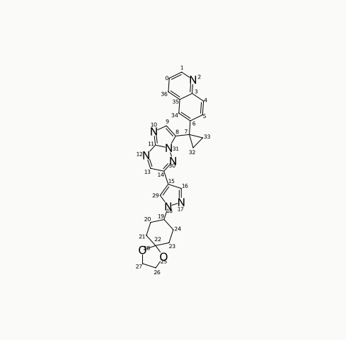 c1cnc2ccc(C3(c4cnc5ncc(-c6cnn(C7CCC8(CC7)OCCO8)c6)nn45)CC3)cc2c1